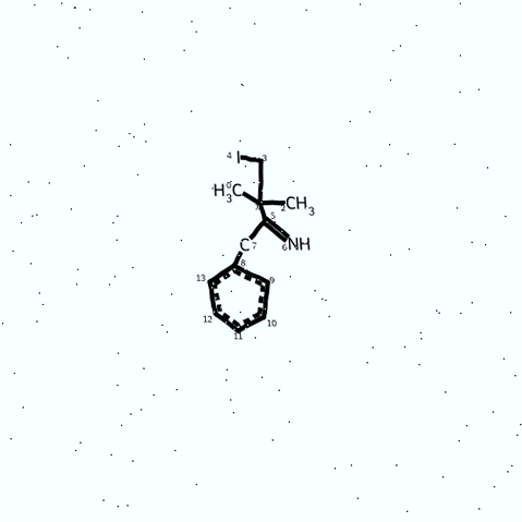 CC(C)(CI)C(=N)Cc1ccccc1